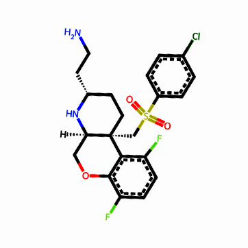 NCC[C@@H]1CC[C@@]2(CS(=O)(=O)c3ccc(Cl)cc3)c3c(F)ccc(F)c3OC[C@H]2N1